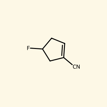 N#CC1=CCC(F)C1